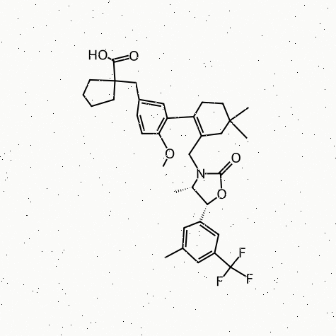 COc1ccc(CC2(C(=O)O)CCCC2)cc1C1=C(CN2C(=O)O[C@H](c3cc(C)cc(C(F)(F)F)c3)[C@@H]2C)CC(C)(C)CC1